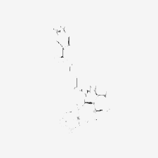 CCc1nn(CCCOC(=O)c2ccnnc2)c2c1C(=O)NCC1(CCOCC1)C2